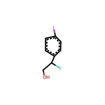 OCC(F)c1ccc(I)cc1